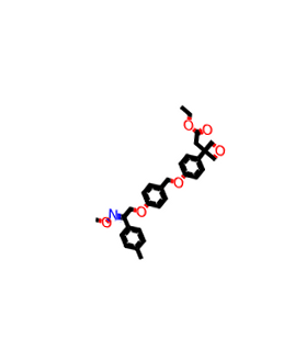 CCOC(=O)CC1(c2ccc(OCc3ccc(OC/C(=N/OC)c4ccc(C)cc4)cc3)cc2)COC1